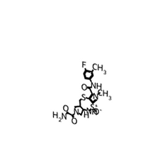 Cc1cc(NC(=O)c2c3c(cn2C)[S+]([O-])N[C@H]2CN(C(=O)C(N)=O)CC2CS3)ccc1F